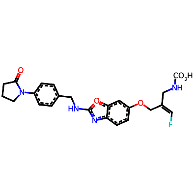 O=C(O)NC/C(=C/F)COc1ccc2nc(NCc3ccc(N4CCCC4=O)cc3)oc2c1